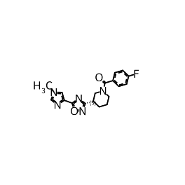 Cn1cnc(-c2nc([C@H]3CCCN(C(=O)c4ccc(F)cc4)C3)no2)c1